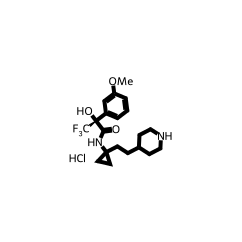 COc1cccc([C@@](O)(C(=O)NC2(CCC3CCNCC3)CC2)C(F)(F)F)c1.Cl